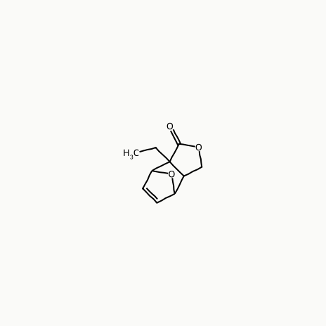 CCC12C(=O)OCC1C1C=CC2O1